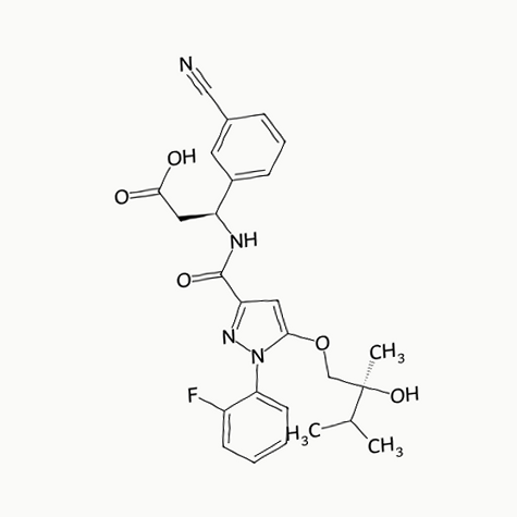 CC(C)[C@](C)(O)COc1cc(C(=O)N[C@@H](CC(=O)O)c2cccc(C#N)c2)nn1-c1ccccc1F